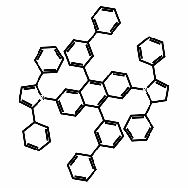 C1=CCC(c2ccc(-c3ccccc3)n2-c2ccc3c(-c4cccc(-c5ccccc5)c4)c4cc(N5C(c6ccccc6)=CCC5c5ccccc5)ccc4c(-c4cccc(-c5ccccc5)c4)c3c2)C=C1